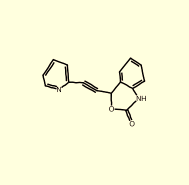 O=C1Nc2ccccc2C(C#Cc2ccccn2)O1